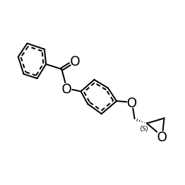 O=C(Oc1ccc(OC[C@@H]2CO2)cc1)c1ccccc1